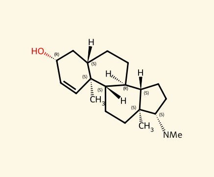 CN[C@H]1CC[C@H]2[C@@H]3CC[C@H]4C[C@@H](O)C=C[C@]4(C)[C@H]3CC[C@]12C